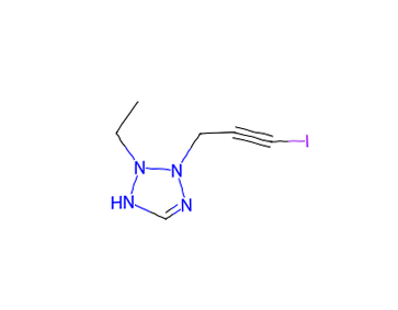 CCN1NC=NN1CC#CI